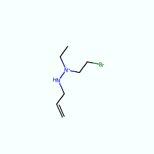 C=CCN[N+](CC)CCBr